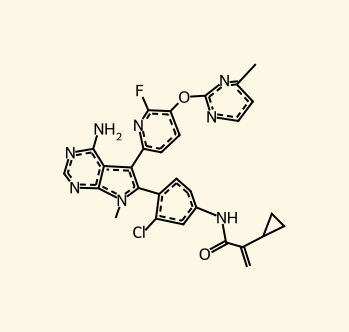 C=C(C(=O)Nc1ccc(-c2c(-c3ccc(Oc4nccc(C)n4)c(F)n3)c3c(N)ncnc3n2C)c(Cl)c1)C1CC1